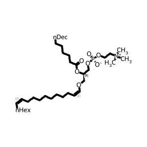 CCCCCC/C=C\CCCCCCCC/C=C\OC[C@H](COP(=O)([O-])OCC[N+](C)(C)C)OC(=O)CCCCCCCCCCCCCCC